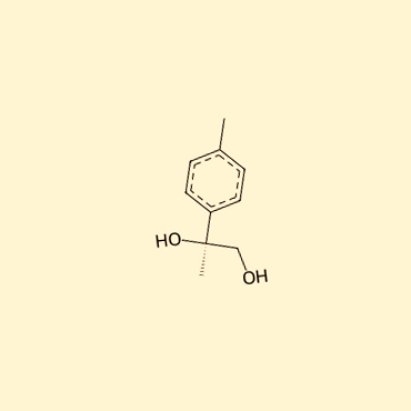 Cc1ccc([C@](C)(O)CO)cc1